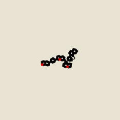 c1ccc2cc(-c3ccc(-c4ccc5ccc(N(c6ccc7sc8c9ccccc9ccc8c7c6)c6cccc7ccccc67)cc5c4)cc3)ccc2c1